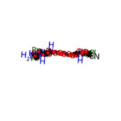 CC1(C)C(NC(=O)c2ccc(OCCOCCOCCOCCOCCNS(=O)(=O)c3ccc(Nc4ncc(Br)c(Nc5cccc(F)c5C(N)=O)n4)cc3)cc2)C(C)(C)C1Oc1ccc(C#N)c(Cl)c1